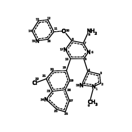 Cn1ccc(-c2nc(N)c(Oc3cccnc3)nc2-c2cc(Cl)c3ncccc3c2)n1